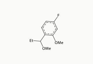 CCC(OC)c1ccc(F)cc1OC